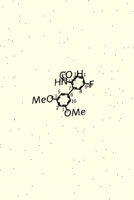 COc1cc(OC)cc(-c2cc(F)ccc2NC(=O)O)c1